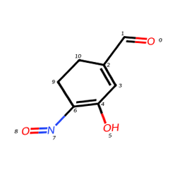 O=CC1=CC(O)=C(N=O)CC1